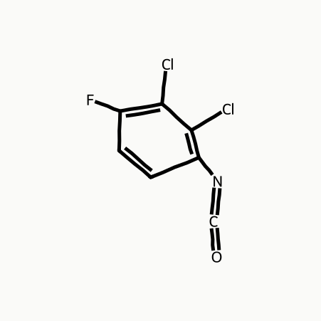 O=C=Nc1ccc(F)c(Cl)c1Cl